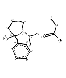 CCC(=O)O.CN(C)[C@H]1CCCC1(O)c1ccccc1